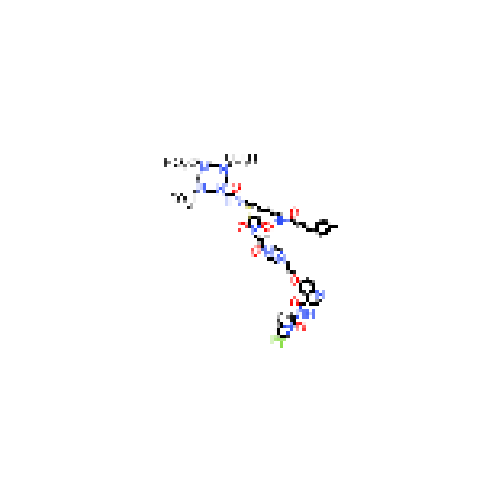 Cc1ccc(CCCC(=O)NCCCCC[C@H](CNC(=O)CN2CCN(CC(=O)O)CCN(CC(=O)O)CCN(CC(=O)O)CC2)SC2CC(=O)N(C[C@@H](C)C(=O)N3CCN(CCCOc4ccc5nccc(C(=O)NCC(=O)N6CC(F)(F)C[C@@H]6C#N)c5c4)CC3)C2=O)cc1